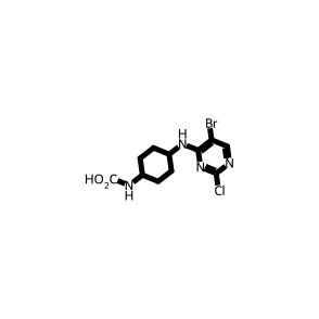 O=C(O)NC1CCC(Nc2nc(Cl)ncc2Br)CC1